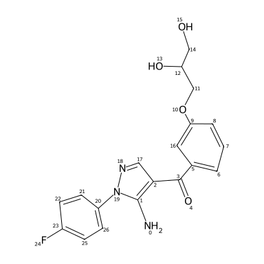 Nc1c(C(=O)c2cccc(OCC(O)CO)c2)cnn1-c1ccc(F)cc1